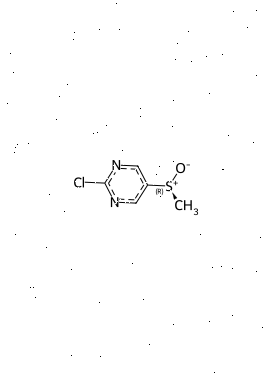 C[S@+]([O-])c1cnc(Cl)nc1